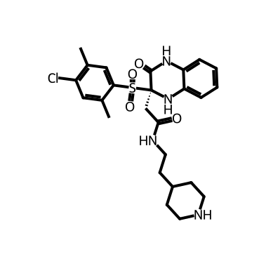 Cc1cc(S(=O)(=O)[C@]2(CC(=O)NCCC3CCNCC3)Nc3ccccc3NC2=O)c(C)cc1Cl